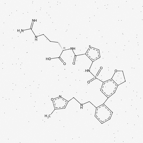 Cc1cc(CNCc2ccccc2-c2cc3c(c(S(=O)(=O)Nc4ccsc4C(=O)N[C@@H](CCCNC(=N)N)C(=O)O)c2)OCC3)no1